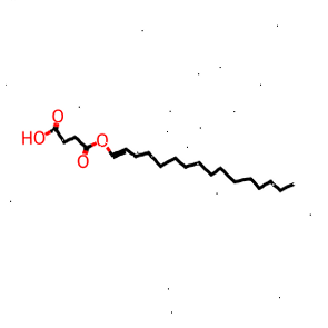 CCCCCCCCCCCCCCC=COC(=O)CCC(=O)O